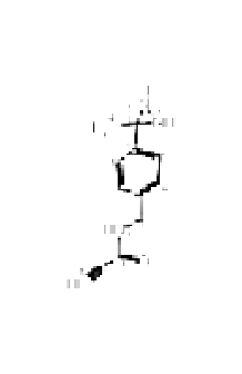 C#CC(=O)NCc1ccc(C2(C(F)(F)F)NN2)cc1